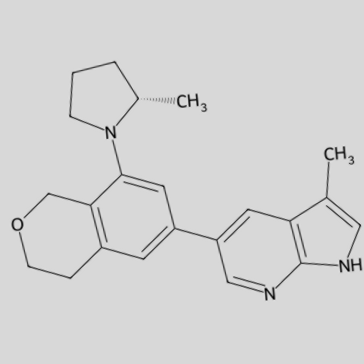 Cc1c[nH]c2ncc(-c3cc4c(c(N5CCC[C@@H]5C)c3)COCC4)cc12